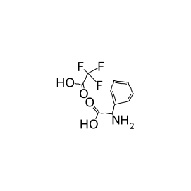 NC(C(=O)O)c1ccccc1.O=C(O)C(F)(F)F